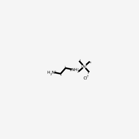 C[N+](C)(C)C.NCCN.[Cl-]